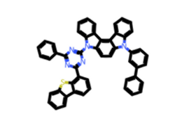 c1ccc(-c2cccc(-n3c4ccccc4c4c5c6ccccc6n(-c6nc(-c7ccccc7)nc(-c7cccc8c7sc7ccccc78)n6)c5ccc43)c2)cc1